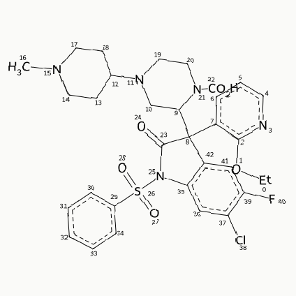 CCOc1ncccc1C1(C2CN(C3CCN(C)CC3)CCN2C(=O)O)C(=O)N(S(=O)(=O)c2ccccc2)c2cc(Cl)c(F)cc21